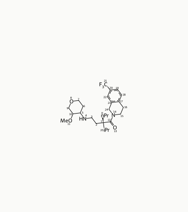 CCC[C@@](CCNC1CCOCC1OC)(C(=O)N1CCc2ccc(C(F)(F)F)cc2C1)C(C)C